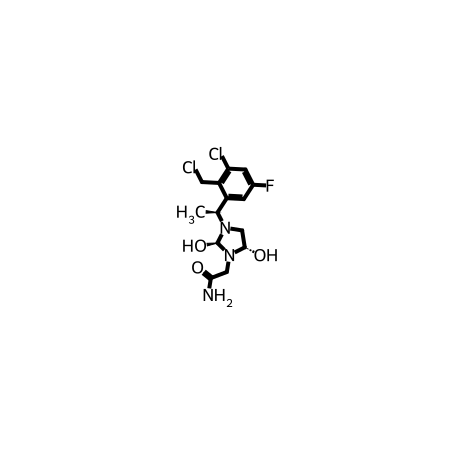 C[C@@H](c1cc(F)cc(Cl)c1CCl)N1C[C@H](O)N(CC(N)=O)[C@H]1O